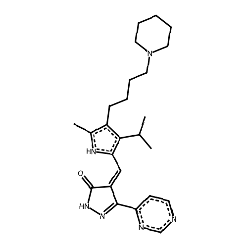 Cc1[nH]c(C=C2C(=O)NN=C2c2ccncn2)c(C(C)C)c1CCCCN1CCCCC1